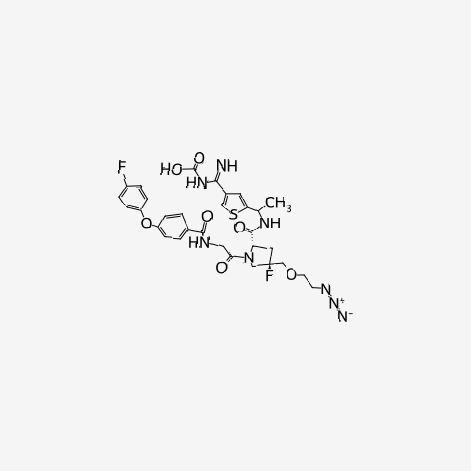 CC(NC(=O)[C@@H]1C[C@](F)(COCCN=[N+]=[N-])CN1C(=O)CNC(=O)c1ccc(Oc2ccc(F)cc2)cc1)c1cc(C(=N)NC(=O)O)cs1